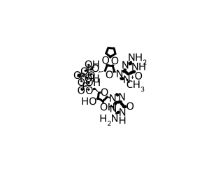 C[n+]1cn([C@@H]2O[C@H](COP(=O)(O)OP(=O)(O)OP(=O)(O)OC[C@H]3O[C@@H](n4cnc5c(=O)[nH]c(N)nc54)C(O)C3O)C3OC4(CCCC4)OC32)c2nc(N)[nH]c(=O)c21